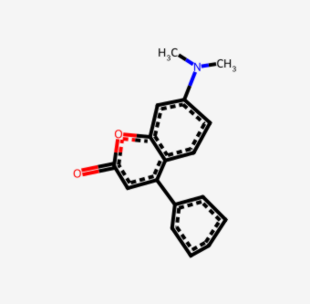 CN(C)c1ccc2c(-c3ccccc3)cc(=O)oc2c1